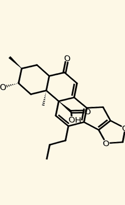 CCCC1=C[C@@]2(C(=O)O)C(=CC(=O)C3C[C@H](C)[C@@H](O)C[C@@]32C)C2=C1C1=C(C2)OCO1